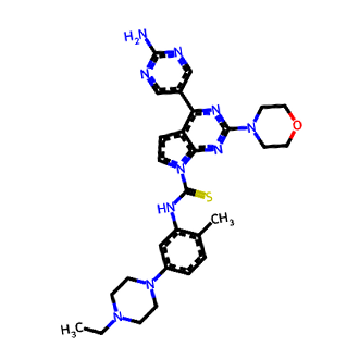 CCN1CCN(c2ccc(C)c(NC(=S)n3ccc4c(-c5cnc(N)nc5)nc(N5CCOCC5)nc43)c2)CC1